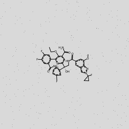 CCOc1c(C(N)=O)cc([C@@](O)(CNC(=O)c2cc(OC)c3nn(C4(F)CC4)cc3c2)c2cccc(F)c2)nc1-c1cc(F)c(F)cc1C(N)=O